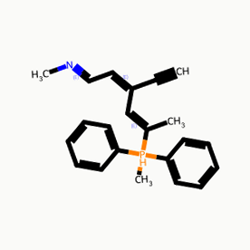 C#CC(=C/C=N/C)/C=C(\C)[PH](C)(c1ccccc1)c1ccccc1